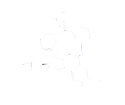 CCOC(=O)[C@@H]1CCN(C(=O)[C@@H](Nc2cc(C(N)=O)ccc2F)c2ccc(F)c(OC)c2)[C@H]1c1cc(NC(=O)OC)ccc1S(=O)(=O)C1CC1